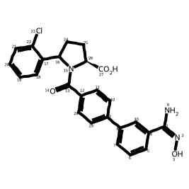 N/C(=N/O)c1cccc(-c2ccc(C(=O)N3C(c4ccccc4Cl)CC[C@H]3C(=O)O)cc2)c1